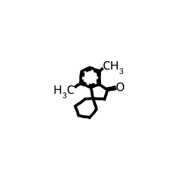 Cc1ccc(C)c2c1C(=O)CC21CCCCC1